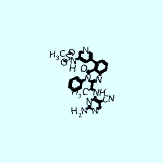 C[C@H](Nc1nc(N)ncc1C#N)c1nc2cccc(-c3cncc(NS(C)(=O)=O)c3)c2c(=O)n1-c1ccccc1